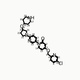 O=c1cc(OCc2ccc(Cl)cn2)ccn1-c1ccc(N2CCC(OC3CCNCC3)C2)nc1